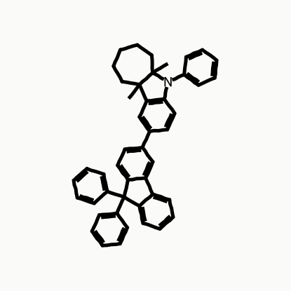 CC12CCCCCC1(C)N(c1ccccc1)c1ccc(-c3ccc4c(c3)-c3ccccc3C4(c3ccccc3)c3ccccc3)cc12